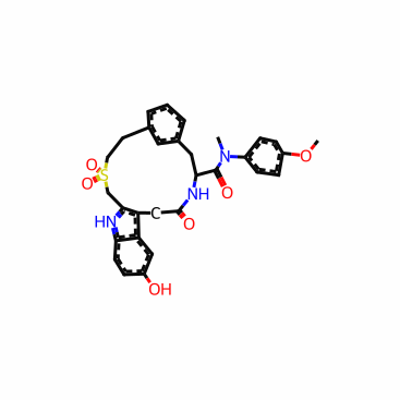 COc1ccc(N(C)C(=O)C2Cc3cccc(c3)CCS(=O)(=O)Cc3[nH]c4ccc(O)cc4c3CC(=O)N2)cc1